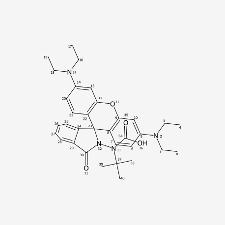 CCN(CC)c1ccc2c(c1)Oc1cc(N(CC)CC)ccc1C21c2ccccc2C(=O)N1N(C(=O)O)C(C)(C)C